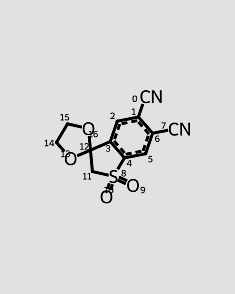 N#Cc1cc2c(cc1C#N)S(=O)(=O)CC21OCCO1